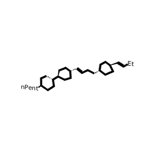 CCC=C[C@H]1CC[C@H](CCC=C[C@H]2CC[C@H]([C@H]3CC[C@H](CCCCC)CC3)CC2)CC1